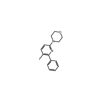 Ic1ccc(N2CCOCC2)nc1-c1ccccc1